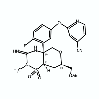 COC[C@H]1C[C@@H]2[C@](c3cc(Oc4cc(C#N)ccn4)ccc3F)(CO1)NC(=N)N(C)S2(=O)=O